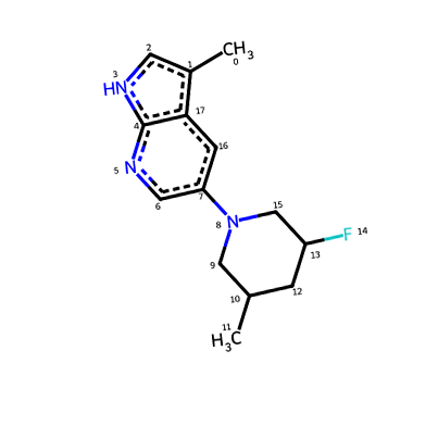 Cc1c[nH]c2ncc(N3CC(C)CC(F)C3)cc12